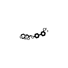 OC(COc1ccc(-c2cccc(C(F)(F)F)c2)cc1)CN1CCOCC1